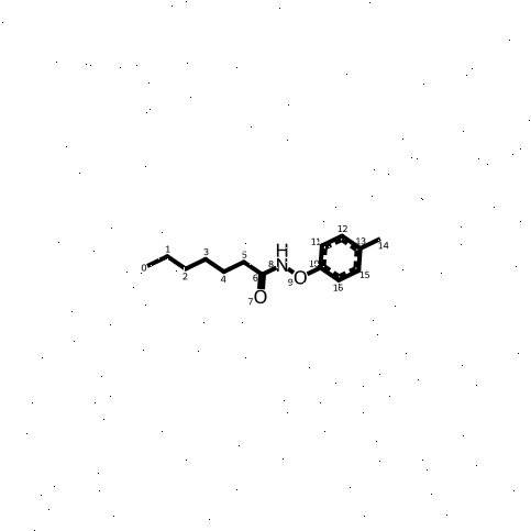 CCCCCCC(=O)NOc1ccc(C)cc1